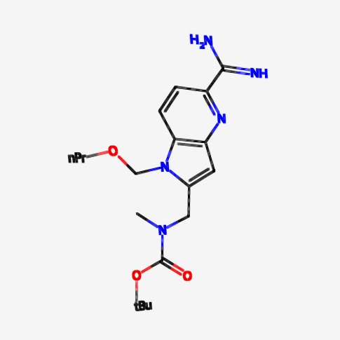 CCCOCn1c(CN(C)C(=O)OC(C)(C)C)cc2nc(C(=N)N)ccc21